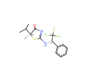 CC(C)[C@]1(C)SC(N[C@@H](c2ccccc2)C(F)(F)F)=NC1=O